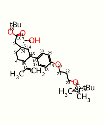 C=C(C)[C@@H]1CC[C@@](CO)(CC(=O)OC(C)(C)C)C[C@H]1c1ccc(OCCCO[Si](C)(C)C(C)(C)C)cc1